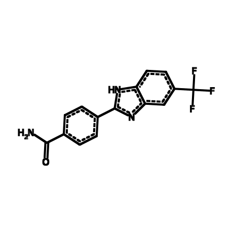 NC(=O)c1ccc(-c2nc3cc(C(F)(F)F)ccc3[nH]2)cc1